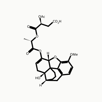 COc1ccc2c3c1O[C@H]1C(OC(=O)[C@H](C)OC(=O)[C@H](CC(=O)O)OC(C)=O)=CC[C@@]4(O)[C@H](CCCC314)C2